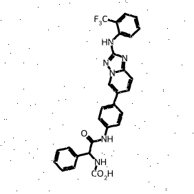 O=C(O)NC(C(=O)Nc1ccc(-c2ccc3nc(Nc4ccccc4C(F)(F)F)nn3c2)cc1)c1ccccc1